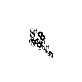 CN1CCN(C(=O)c2cn3c4c(c(NCCCn5ccnc5)c(F)cc4c2=O)Oc2ccc4ccccc4c2-3)CC1